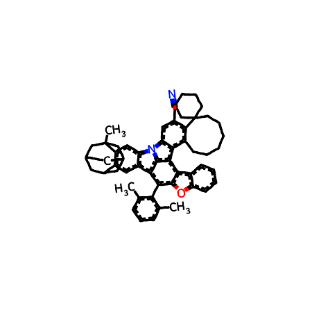 Cc1cccc(C)c1-c1c2oc3ccccc3c2c2c3c4c(c(C#N)cc3n3c5cc6c(cc5c1c23)C1CC2CC(C1)CC6(C)C2)C1(CCCCCC4)CCCCC1